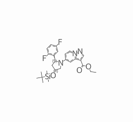 CCOC(=O)c1cnn2ccc(N3C[C@H](O[Si](C)(C)C(C)(C)C)C[C@H]3c3cc(F)ccc3F)cc12